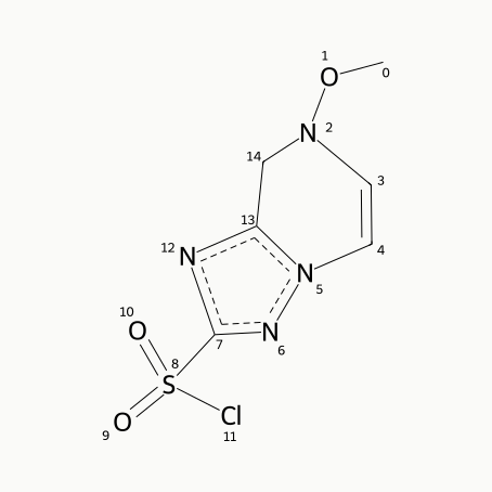 CON1C=Cn2nc(S(=O)(=O)Cl)nc2C1